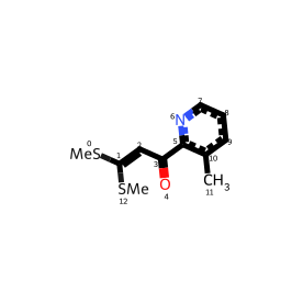 CSC(=CC(=O)c1ncccc1C)SC